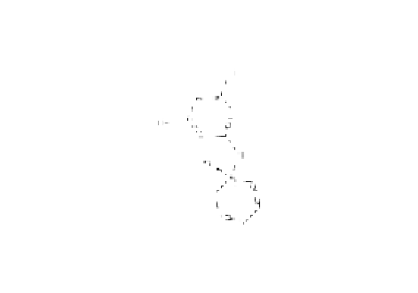 CC[C@@]1(Nc2nc(Cl)cc(Cl)n2)C=CC=CC1